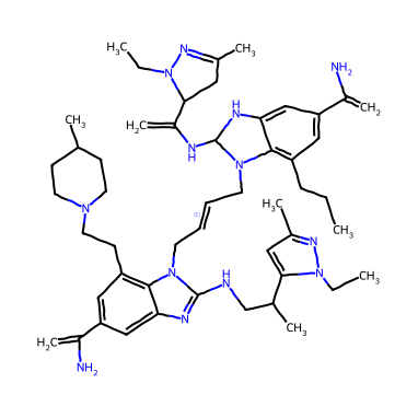 C=C(N)c1cc(CCC)c2c(c1)NC(NC(=C)C1CC(C)=NN1CC)N2C/C=C/Cn1c(NCC(C)c2cc(C)nn2CC)nc2cc(C(=C)N)cc(CCN3CCC(C)CC3)c21